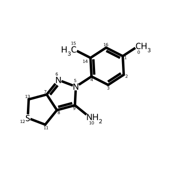 Cc1ccc(-n2nc3c(c2N)CSC3)c(C)c1